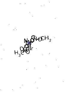 CCN1C(=O)c2cc(C#N)c(/N=N/c3ccc4c(c3)CCCN4CCOC)c(Br)c2C1=O